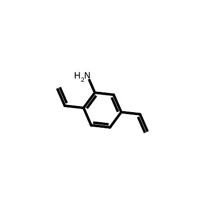 C=Cc1ccc(C=C)c(N)c1